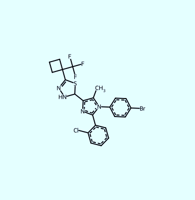 Cc1c(C2NN=C(C3(C(F)(F)F)CCC3)S2)nc(-c2ccccc2Cl)n1-c1ccc(Br)cc1